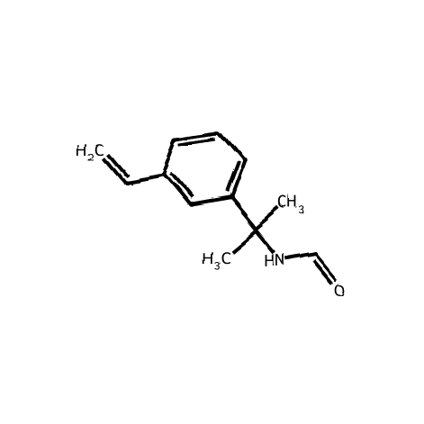 C=Cc1cccc(C(C)(C)NC=O)c1